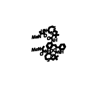 CN[C@@H](C)C(=O)N[C@H]1CCSC2CC(C)(C)[C@@H](C(=O)Nc3ccccc3CCc3ccccc3NC(=O)[C@H]3N4C(=O)[C@@H](NC(=O)[C@H](C)NC)CCSC4CC3(C)C)N2C1